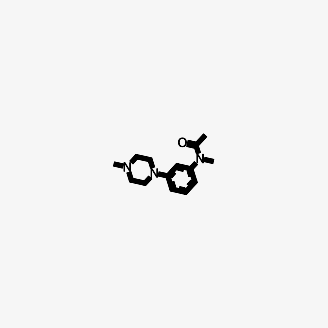 CC(=O)N(C)c1cccc(N2CCN(C)CC2)c1